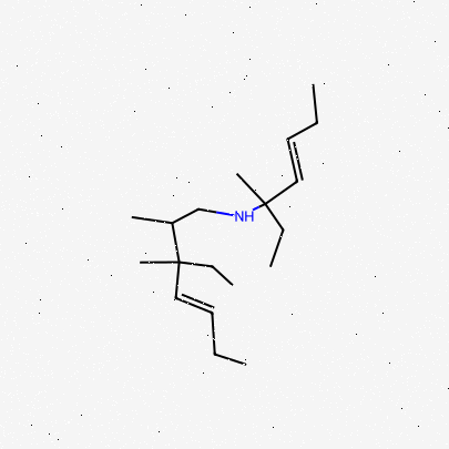 CCC=CC(C)(CC)NCC(C)C(C)(C=CCC)CC